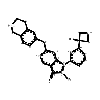 CC(C)n1c(=O)c2cnc(Nc3ccc4c(c3)CCNC4)nc2n1-c1cccc(C2(O)COC2)n1